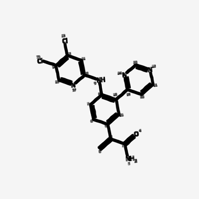 C=C(C(N)=O)c1ccc(Nc2cc(Cl)c(Cl)cn2)c(-c2ccncn2)c1